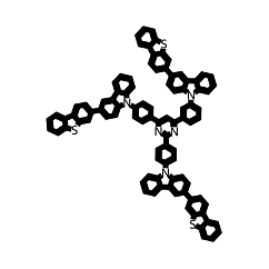 c1cc(-c2cc(-c3ccc(-n4c5ccccc5c5cc(-c6ccc7c(c6)sc6ccccc67)ccc54)cc3)nc(-c3ccc(-n4c5ccccc5c5cc(-c6ccc7c(c6)sc6ccccc67)ccc54)cc3)n2)cc(-n2c3ccccc3c3cc(-c4ccc5c(c4)sc4ccccc45)ccc32)c1